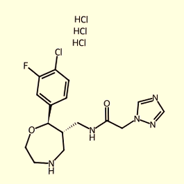 Cl.Cl.Cl.O=C(Cn1cncn1)NC[C@@H]1CNCCO[C@H]1c1ccc(Cl)c(F)c1